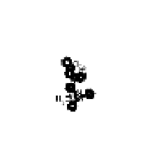 CC1(C)c2ccccc2-c2ccc3c(c21)c1ccccc1n3-c1cccc(-c2nc(-c3ccccc3)nc3c2[Si](C)(C)c2ccccc2-3)c1